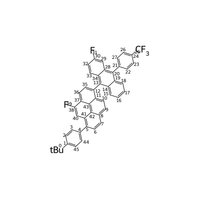 CC(C)(C)c1ccc(-c2ccc3ccc4c(-c5c6ccccc6c(-c6ccc(C(F)(F)F)cc6)c6cc(F)ccc56)ccc5c(F)cc2c3c54)cc1